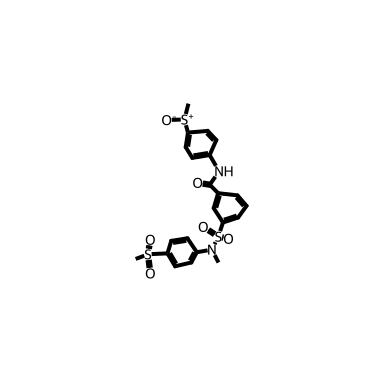 CN(c1ccc(S(C)(=O)=O)cc1)S(=O)(=O)c1cccc(C(=O)Nc2ccc([S+](C)[O-])cc2)c1